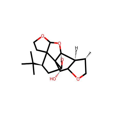 C[C@@H]1COC2[C@H]1[C@]13COC4C[C@@H](C(C)(C)C)C5(CCOC5O1)C43[C@H]2O